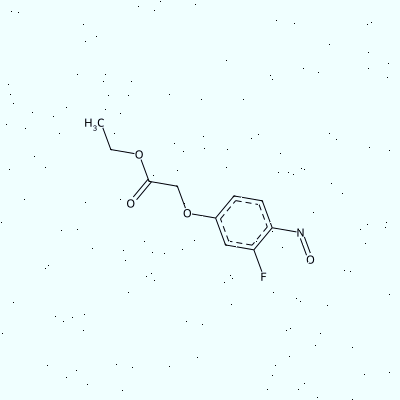 CCOC(=O)COc1ccc(N=O)c(F)c1